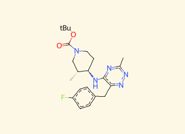 Cc1nnc(Cc2ccc(F)cc2)c(N[C@@H]2CCN(C(=O)OC(C)(C)C)C[C@H]2C)n1